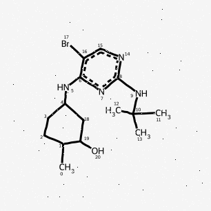 CC1CCC(Nc2nc(NC(C)(C)C)ncc2Br)CC1O